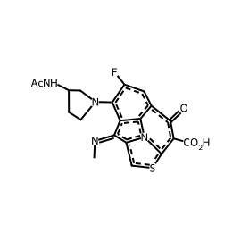 CN=c1c2c(N3CCC(NC(C)=O)C3)c(F)cc3c(=O)c(C(=O)O)c4scc1n4c32